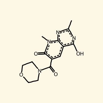 Cc1nc(O)c2cc(C(=O)N3CCOCC3)c(=O)n(C)c2n1